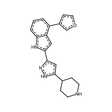 c1cc(-c2ccoc2)c2cc(-c3cc(C4CCNCC4)[nH]n3)[nH]c2c1